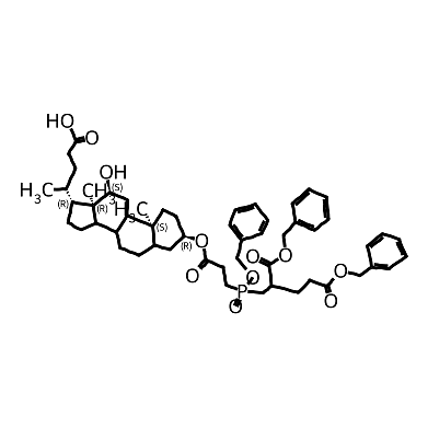 CC(CCC(=O)O)[C@H]1CCC2C3CCC4C[C@H](OC(=O)CCP(=O)(CC(CCC(=O)OCc5ccccc5)C(=O)OCc5ccccc5)OCc5ccccc5)CC[C@]4(C)C3C[C@H](O)[C@@]21C